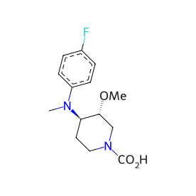 CO[C@@H]1CN(C(=O)O)CC[C@H]1N(C)c1ccc(F)cc1